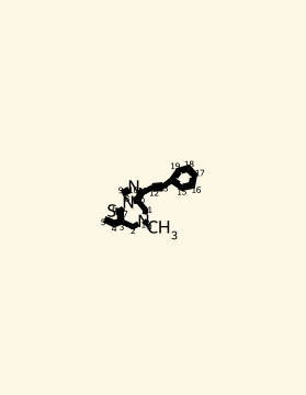 CN1Cc2ccsc2-n2cnc(C#Cc3ccccc3)c2C1